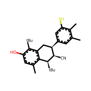 Cc1cc([C@@H]2Cc3c(c(C)cc(O)c3C(C)(C)C)[C@H](C(C)(C)C)[C@@H]2C#N)cc(S)c1C